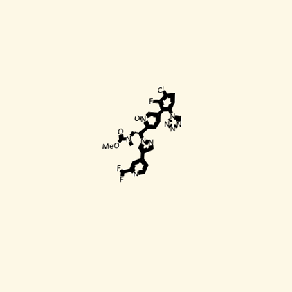 COC(=O)N(C)C[C@H](c1ccc(-c2c(-n3cnnn3)ccc(Cl)c2F)c[n+]1[O-])n1cc(-c2ccnc(C(F)F)c2)cn1